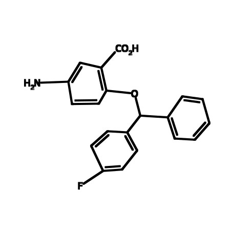 Nc1ccc(OC(c2ccccc2)c2ccc(F)cc2)c(C(=O)O)c1